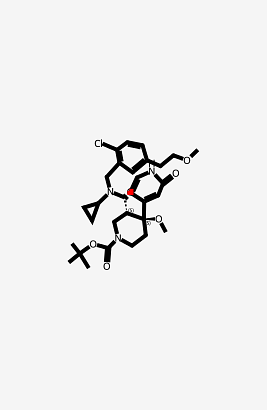 COCCc1ccc(Cl)c(CN(C(=O)[C@H]2CN(C(=O)OC(C)(C)C)CC[C@@]2(OC)c2cc[nH]c(=O)c2)C2CC2)c1